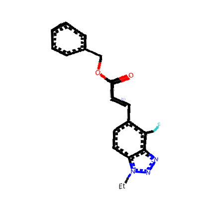 CCn1nnc2c(F)c(/C=C/C(=O)OCc3ccccc3)ccc21